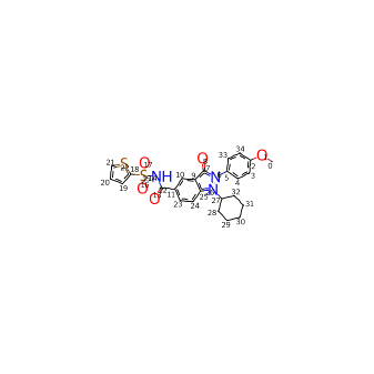 COc1ccc(-n2c(=O)c3cc(C(=O)NS(=O)(=O)c4cccs4)ccc3n2C2CCCCC2)cc1